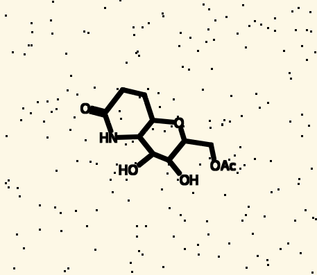 CC(=O)OCC1OC2CCC(=O)NC2C(O)C1O